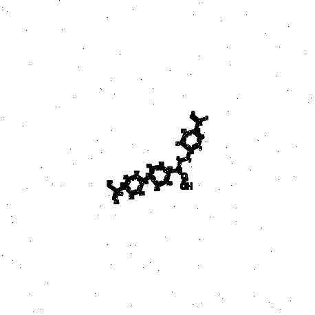 C=C(C)c1ccc(CCC(OO)c2ccc(-c3ccc(C(=C)C)cc3)cc2)cc1